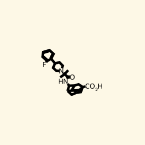 CC(C)(C(=O)NC1C2CC3CC1CC(C(=O)O)(C3)C2)N1CCC(c2ccccc2F)CC1